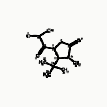 CN1C(=O)CN(C(=O)C(Cl)Cl)C1C(C)(C)C